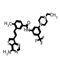 CCN1CCN(c2cc(NC(=O)c3ccc(C)c(/C=C/c4csc5c(N)ncnc45)c3)cc(C(F)(F)F)c2)CC1